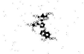 C=C[C@@H]1C[C@]1(NC(=O)[C@@H]1C[C@@H](Oc2ccnc3c(C)c(OC)ccc23)CN1C(=O)OC(C)(C)C)C(=O)OC